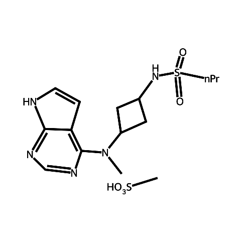 CCCS(=O)(=O)NC1CC(N(C)c2ncnc3[nH]ccc23)C1.CS(=O)(=O)O